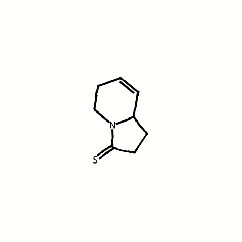 S=C1CCC2C=CCCN12